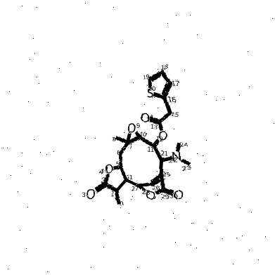 CC1C(=O)OC2CC3(C)OC3C(OC(=O)Cc3cccs3)C(N(C)C)C3=CC(OC3=O)C21